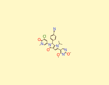 COc1ncc(-c2cc3c(n2C(C)C)C(c2ccc(C#N)cc2)N(c2cc(Cl)c(=O)n(C)c2)C3=O)c(OC)n1